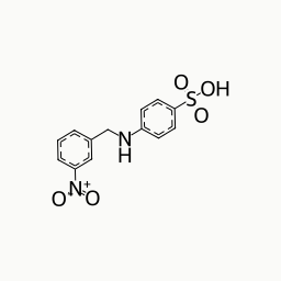 O=[N+]([O-])c1cccc(CNc2ccc(S(=O)(=O)O)cc2)c1